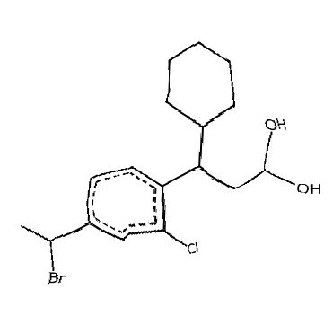 CC(Br)c1ccc(C(CC(O)O)C2CCCCC2)c(Cl)c1